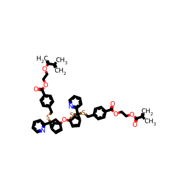 C=C(C)C(=C)OCCOC(=O)c1ccc(CSC2(c3ccccn3)CC3(OC45C=CC(C4)C(SCc4ccc(C(=O)OCCOC(=O)C(=C)C)cc4)(c4ccccn4)S5)C=CC2C3)cc1